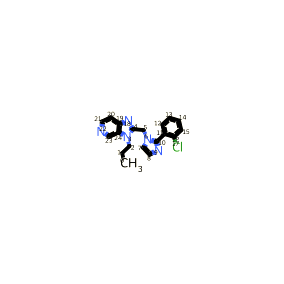 CCCn1c(Cn2ccnc2-c2ccccc2Cl)nc2ccncc21